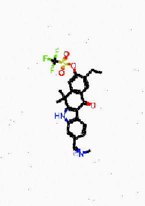 CCc1cc2c(cc1OS(=O)(=O)C(F)(F)F)C(C)(C)c1[nH]c3cc(/C=N\C)ccc3c1C2=O